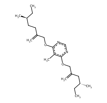 C=C(CC[C@@H](C)CC)COc1ncnc(OCC(=C)C[C@H](C)CC)c1C